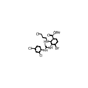 COC(=O)c1ccc(Br)c(NC(=S)Nc2ccc(Cl)cc2Cl)c1NCCCCl